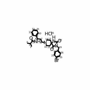 CC(C)C(=O)NC(CCN1CCC2(CC1)NC(=O)N(Cc1ccc(Br)cc1)C2=O)c1ccccc1.Cl